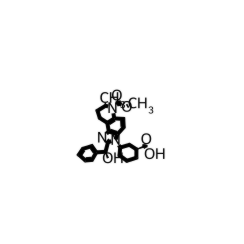 COC(=O)N1c2ccc3c(nc([C@@H](O)c4ccccc4)n3C3CCC[C@H](C(=O)O)C3)c2CC[C@@H]1C